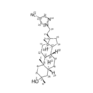 C[C@@]1(O)CC[C@@]2(C)[C@H](CC[C@@H]3[C@@H]2CC[C@]2(C)[C@@H](CCn4cc(C#N)cn4)CC[C@@H]32)C1